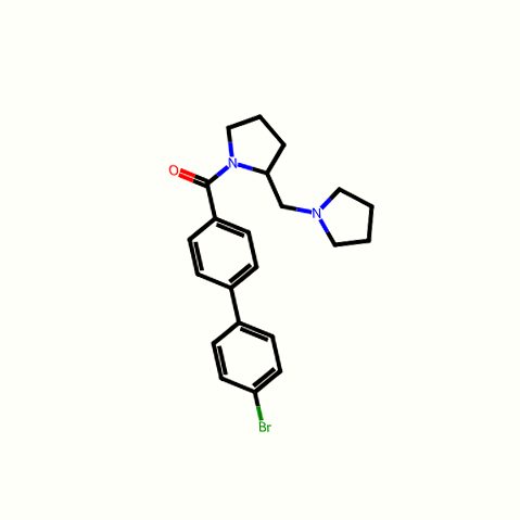 O=C(c1ccc(-c2ccc(Br)cc2)cc1)N1CCCC1CN1CCCC1